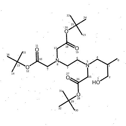 CC(CO)CN(CCN(CC(=O)OC(C)(C)C)CC(=O)OC(C)(C)C)CC(=O)OC(C)(C)C